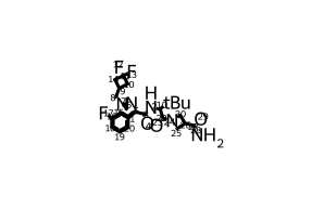 CC(C)(C)C(NC(=O)c1nn(CC2CC(F)(F)C2)c2c(F)cccc12)C(=O)N1CC(C(N)=O)C1